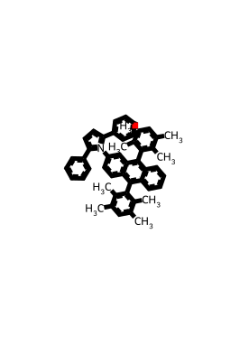 Cc1cc(C)c(C)c(-c2c3ccccc3c(-c3c(C)c(C)cc(C)c3C)c3cc(-n4c(-c5ccccc5)ccc4-c4ccccc4)ccc23)c1C